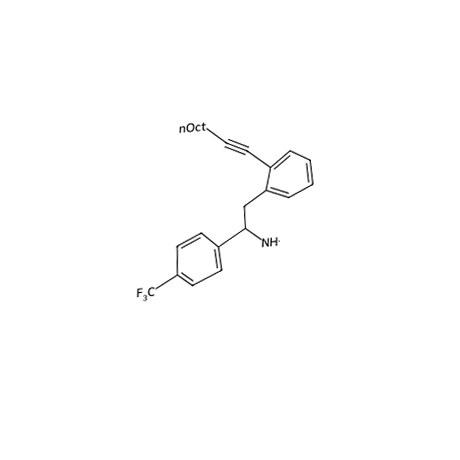 CCCCCCCCC#Cc1ccccc1CC([NH])c1ccc(C(F)(F)F)cc1